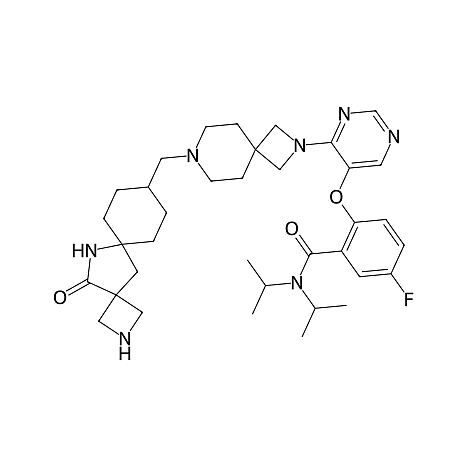 CC(C)N(C(=O)c1cc(F)ccc1Oc1cncnc1N1CC2(CCN(CC3CCC4(CC3)CC3(CNC3)C(=O)N4)CC2)C1)C(C)C